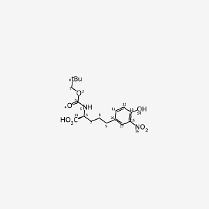 CC(C)(C)COC(=O)N[C@@H](CCCc1ccc(O)c([N+](=O)[O-])c1)C(=O)O